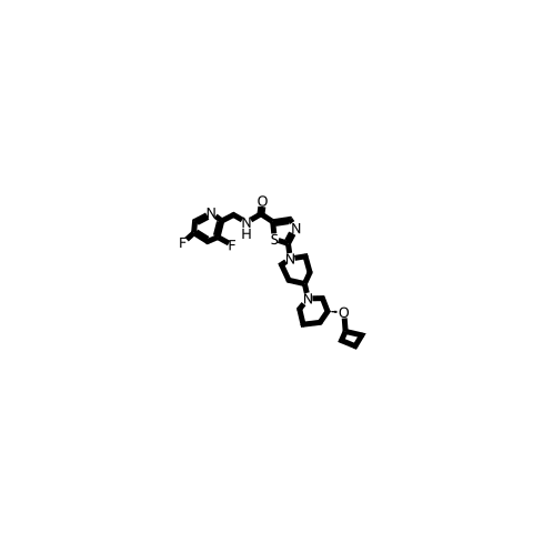 O=C(NCc1ncc(F)cc1F)c1cnc(N2CCC(N3CCC[C@@H](OC4CCC4)C3)CC2)s1